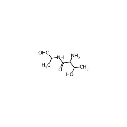 CC(C=O)NC(=O)[C@@H](N)C(C)O